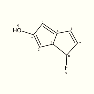 OC1=CC2C(=C1)C=CC2F